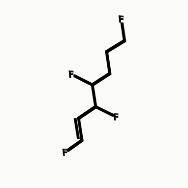 FC=CC(F)C(F)CCCF